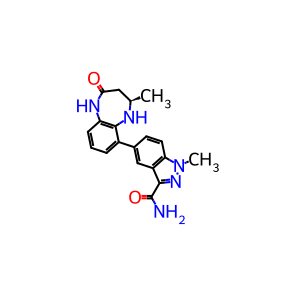 C[C@@H]1CC(=O)Nc2cccc(-c3ccc4c(c3)c(C(N)=O)nn4C)c2N1